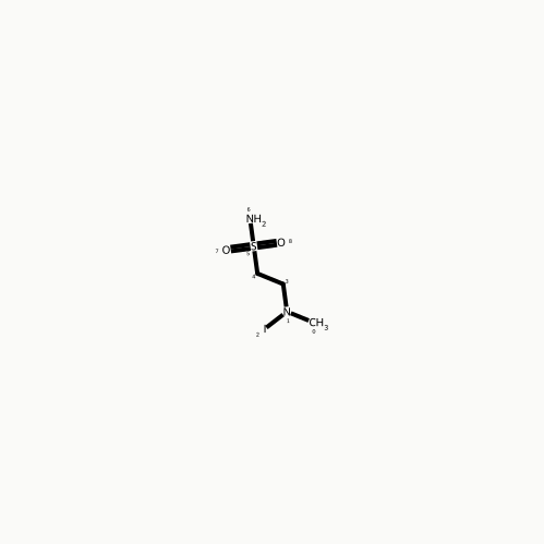 CN(I)CCS(N)(=O)=O